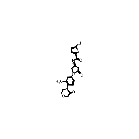 Cc1cc(N2C/C(=N/C(=O)c3ccc(Cl)s3)CC2=O)ccc1N1CCOCC1=O